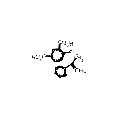 C=C(C)c1ccccc1.Cc1ccc(C(=O)O)cc1C(=O)O